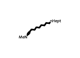 CCCCCCCCCCCCCCCC#CNC